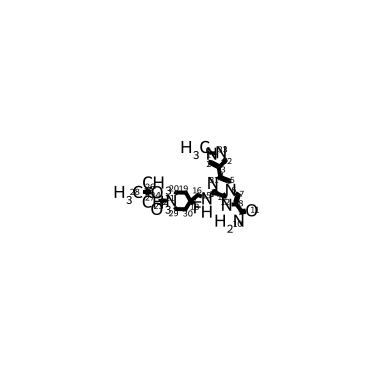 Cn1cc(-c2cn3cc(C(N)=O)nc3c(NCC3(F)CCN(C(=O)OC(C)(C)C)CC3)n2)cn1